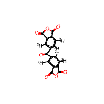 [2H]c1c([2H])c2c(c([2H])c1C(=O)c1c([2H])c([2H])c3c(c1[2H])C(=O)OC3=O)C(=O)OC2=O